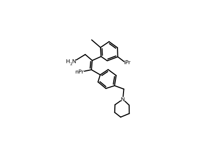 CCC/C(=C(\CN)c1cc(C(C)C)ccc1C)c1ccc(CN2CCCCC2)cc1